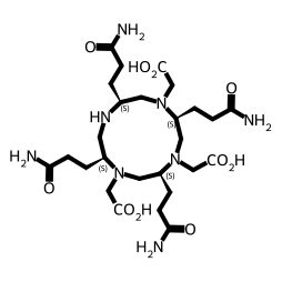 NC(=O)CC[C@H]1CN(CC(=O)O)[C@@H](CCC(N)=O)CN(CC(=O)O)[C@@H](CCC(N)=O)CN(CC(=O)O)[C@@H](CCC(N)=O)CN1